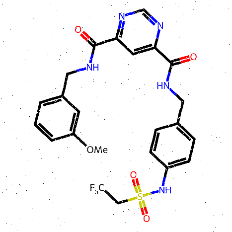 COc1cccc(CNC(=O)c2cc(C(=O)NCc3ccc(NS(=O)(=O)CC(F)(F)F)cc3)ncn2)c1